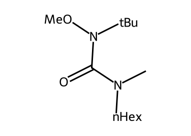 CCCCCCN(C)C(=O)N(OC)C(C)(C)C